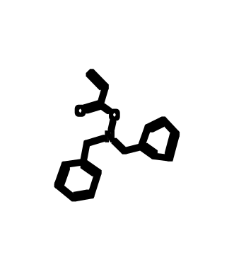 C=CC(=O)ON(Cc1ccccc1)Cc1ccccc1